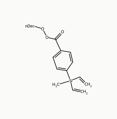 [CH2]CCCCCCCCCOOC(=O)c1ccc([Si](C)(C=C)C=C)cc1